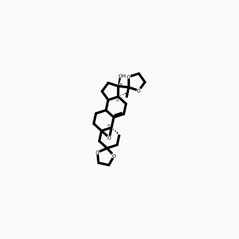 CC1([C@@]2(O)CCC3C4CCC56CC7(CC[C@@]5(O6)C4=CC[C@@]32C)OCCO7)OCCO1